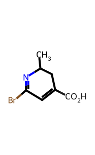 CC1CC(C(=O)O)=CC(Br)=N1